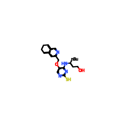 CCCC[C@@H](CCO)Nc1nc(S)ncc1OCc1cc2c(cn1)=CCCC=2